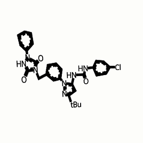 CC(C)(C)c1cc(NC(=O)Nc2ccc(Cl)cc2)n(-c2cccc(Cn3c(=O)[nH]n(-c4ccccc4)c3=O)c2)n1